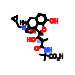 C/C(C(=O)NC(C)(C)C(=O)O)=C(/O)[C@@H]1Oc2c(O)ccc3c2[C@@]12CCN(CC1CC1)[C@H](C3)[C@@]2(C)O